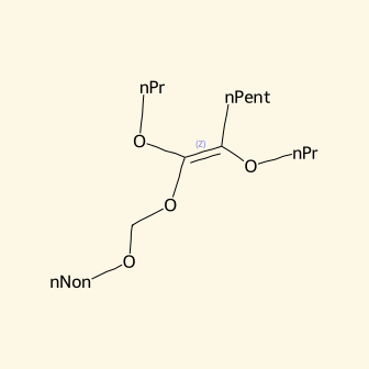 CCCCCCCCCOCO/C(OCCC)=C(/CCCCC)OCCC